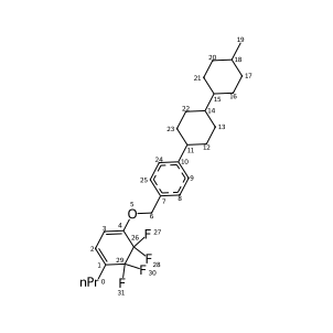 CCCC1=CC=C(OCc2ccc(C3CCC(C4CCC(C)CC4)CC3)cc2)C(F)(F)C1(F)F